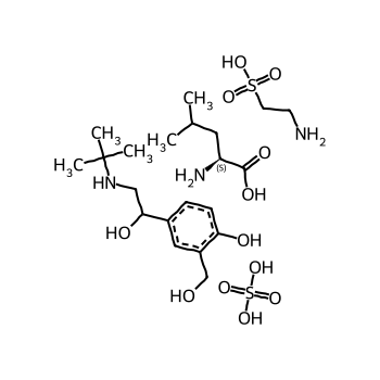 CC(C)(C)NCC(O)c1ccc(O)c(CO)c1.CC(C)C[C@H](N)C(=O)O.NCCS(=O)(=O)O.O=S(=O)(O)O